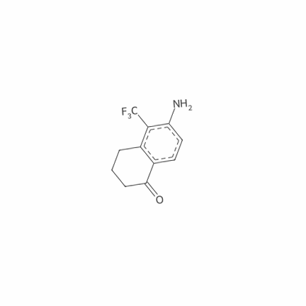 Nc1ccc2c(c1C(F)(F)F)CCCC2=O